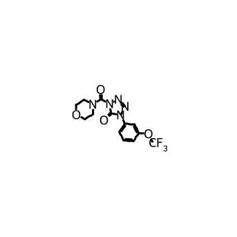 O=C(N1CCOCC1)n1nnn(-c2cccc(OC(F)(F)F)c2)c1=O